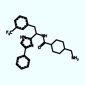 NCC1CCC(C(=O)NC(Cc2cccc(C(F)(F)F)c2)c2nc(-c3ccccc3)c[nH]2)CC1